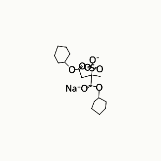 CC(CC(=O)OC1CCCCC1)(C(=O)OC1CCCCC1)S(=O)(=O)[O-].[Na+]